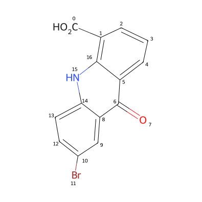 O=C(O)c1cccc2c(=O)c3cc(Br)ccc3[nH]c12